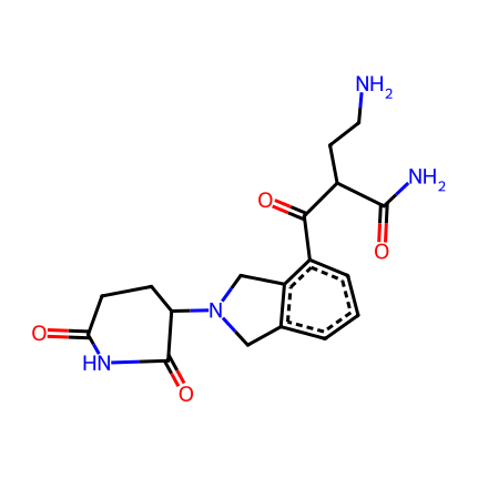 NCCC(C(N)=O)C(=O)c1cccc2c1CN(C1CCC(=O)NC1=O)C2